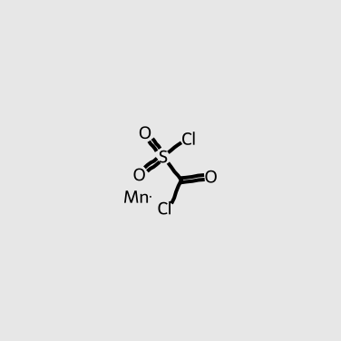 O=C(Cl)S(=O)(=O)Cl.[Mn]